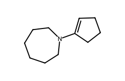 C1=C(N2CCCCCC2)CCC1